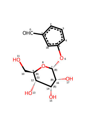 O=Cc1cccc(O[C@H]2O[C@H](CO)[C@@H](O)[C@@H](O)[C@H]2O)c1